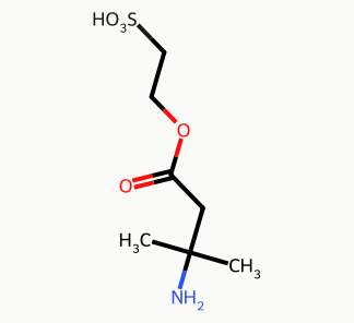 CC(C)(N)CC(=O)OCCS(=O)(=O)O